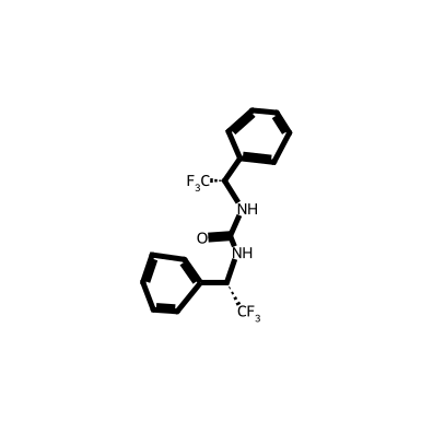 O=C(N[C@@H](c1ccccc1)C(F)(F)F)N[C@@H](c1ccccc1)C(F)(F)F